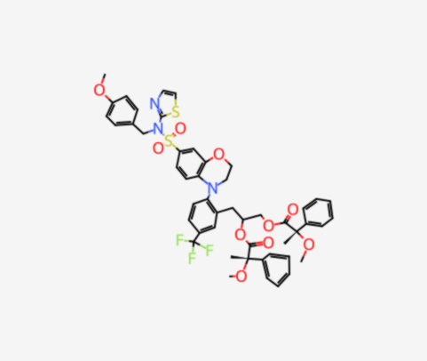 COc1ccc(CN(c2nccs2)S(=O)(=O)c2ccc3c(c2)OCCN3c2ccc(C(F)(F)F)cc2CC(COC(=O)[C@@](C)(OC)c2ccccc2)OC(=O)[C@@](C)(OC)c2ccccc2)cc1